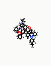 Cc1ccccc1N(c1ccc(C(C)(C)C)cc1)c1ccc2c(c1)C1(c3ccccc3Oc3ccccc31)c1cc(N(c3ccc(C(C)(C)C)nc3)c3ccccc3C)c3oc4ccccc4c3c1-2